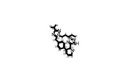 CCCCCn1nc(C(C)C)nc1Cc1ccc(-c2cccnc2-c2nnn[nH]2)cc1